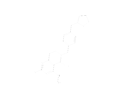 CCCCNc1nc(N)nc2c1C(C=O)N(Cc1ccc(CN3CCCC3)cc1)CC2